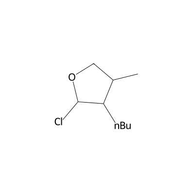 CCCCC1C(C)COC1Cl